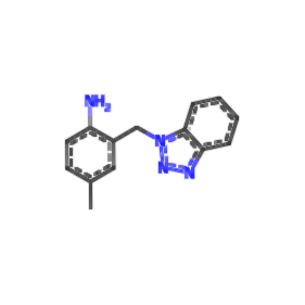 Cc1ccc(N)c(Cn2nnc3ccccc32)c1